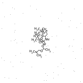 C=C(C)COC(C)OOC(=O)NC(CC)[Si](C)(O[Si](C)(C)C)O[Si](C)(C)C